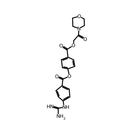 N=C(N)Nc1ccc(C(=O)Oc2ccc(C(=O)OCC(=O)N3CCOCC3)cc2)cc1